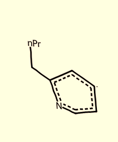 CCCCc1c[c]ccn1